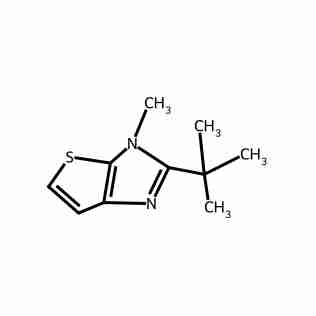 Cn1c(C(C)(C)C)nc2ccsc21